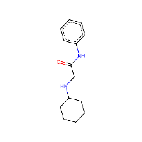 O=C(CNC1CCCCC1)Nc1ccccc1